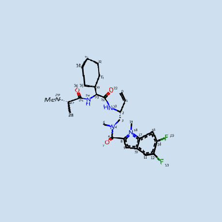 C=C[C@H](CN(C)C(=O)c1cc2cc(F)c(F)cc2n1C)NC(=O)C(NC(=O)[C@H](C)NC)C1CCCCC1